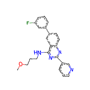 COCCCNc1nc(-c2cccnc2)nc2ccc(-c3cccc(F)c3)cc12